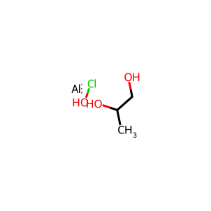 CC(O)CO.OCl.[Al]